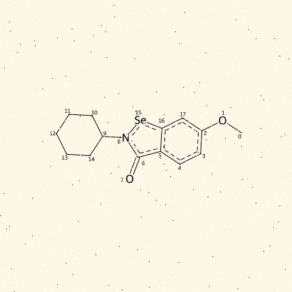 COc1ccc2c(=O)n(C3CCCCC3)[se]c2c1